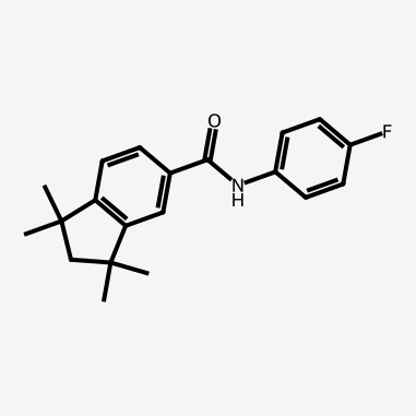 CC1(C)CC(C)(C)c2cc(C(=O)Nc3ccc(F)cc3)ccc21